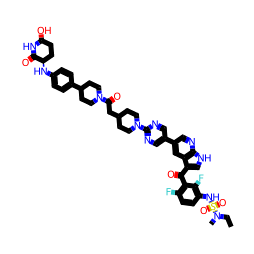 CCN(C)S(=O)(=O)Nc1ccc(F)c(C(=O)c2c[nH]c3ncc(-c4cnc(N5CCC(CC(=O)N6CCC(c7ccc(N[C@H]8CCC(O)NC8=O)cc7)CC6)CC5)nc4)cc23)c1F